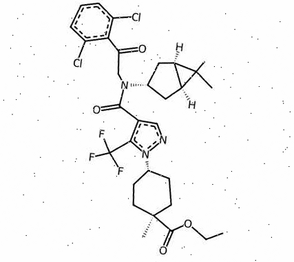 CCOC(=O)[C@]1(C)CC[C@@H](n2ncc(C(=O)N(CC(=O)c3c(Cl)cccc3Cl)[C@@H]3C[C@@H]4[C@H](C3)C4(C)C)c2C(F)(F)F)CC1